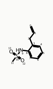 C=C[CH]c1ccccc1NS(C)(=O)=O